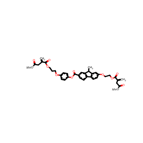 C=C(CC(=O)OC)C(=O)OCCCOc1ccc(OC(=O)c2ccc3c(c2)C(C)c2cc(OCCOC(=O)C(=C)CC(=O)OC)ccc2-3)cc1